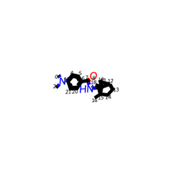 CN(C)c1ccc(C(=O)NC2CC3CCC2(C)C3(C)C)cc1